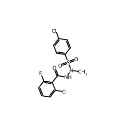 CN(NC(=O)c1c(F)cccc1Cl)S(=O)(=O)c1ccc(Cl)cc1